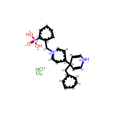 Cl.O=P(O)(O)c1ccccc1C[n+]1ccc(C2(Cc3ccccc3)C=CNC=C2)cc1.[Cl-]